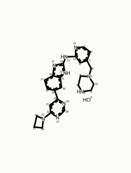 Cl.c1cc(CN2CCNCC2)cc(Nc2nc3ccc(-c4cc(N5CCC5)ncn4)cc3[nH]2)n1